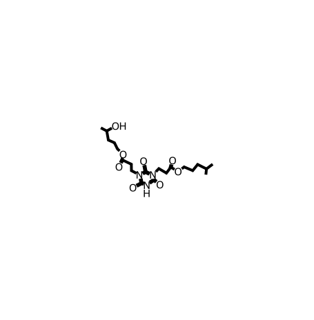 CC(C)CCCOC(=O)CCn1c(=O)[nH]c(=O)n(CCC(=O)OCCCC(C)O)c1=O